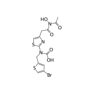 CC(=O)N(O)C(=O)Cc1csc(N(Cc2cc(Br)cs2)C(=O)O)n1